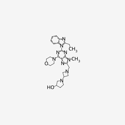 CCc1nc2ccccc2n1-c1nc(N2CCOCC2)c2nc(CN3CC(N4CCC(O)C4)C3)n(C)c2n1